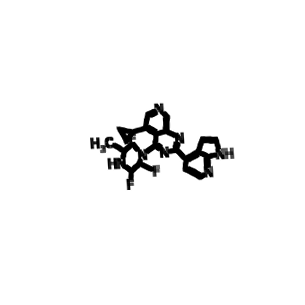 CC1NC(F)C(F)N(c2nc(-c3ccnc4[nH]ccc34)nc3cncc(C4CC4)c23)C1F